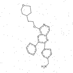 NCc1ccc(-c2nc3ccnc(OCCC4CCOCC4)c3cc2-c2ccccc2)cc1